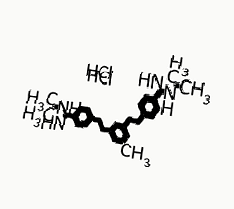 Cc1cc(CCc2ccc(C(=N)NC(C)C)cc2)cc(CCc2ccc(C(=N)NC(C)C)cc2)c1.Cl.Cl